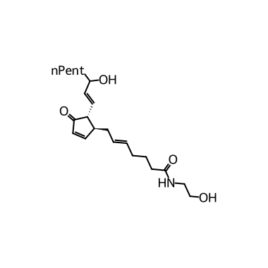 CCCCCC(O)C=C[C@H]1C(=O)C=C[C@@H]1CC=CCCCC(=O)NCCO